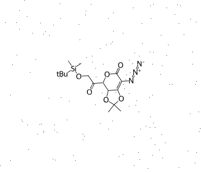 CC1(C)OC2=C(N=[N+]=[N-])C(=O)OC(C(=O)CO[Si](C)(C)C(C)(C)C)C2O1